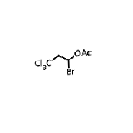 CC(=O)OC(Br)CC(Cl)(Cl)Cl